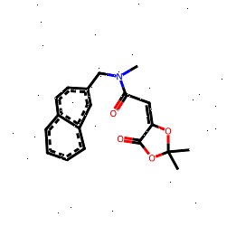 CN(Cc1ccc2ccccc2c1)C(=O)C=C1OC(C)(C)OC1=O